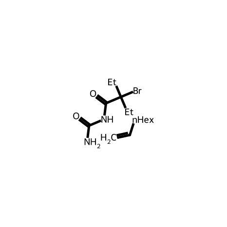 C=CCCCCCC.CCC(Br)(CC)C(=O)NC(N)=O